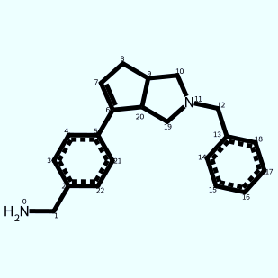 NCc1ccc(C2=CCC3CN(Cc4ccccc4)CC23)cc1